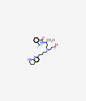 CCOCCN(CCCCc1ccc2c(n1)NCCC2)CCC(NC(=O)c1ccccc1C(F)F)C(=O)O